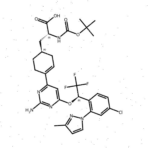 Cc1ccn(-c2cc(Cl)ccc2[C@@H](Oc2cc(C3=CC[C@H](C[C@@H](NC(=O)OC(C)(C)C)C(=O)O)CC3)nc(N)n2)C(F)(F)F)n1